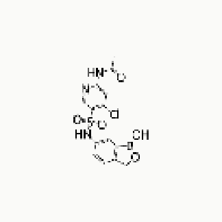 CC(=O)Nc1cc(Cl)c(S(=O)(=O)Nc2ccc3c(c2)B(O)OC3)cn1